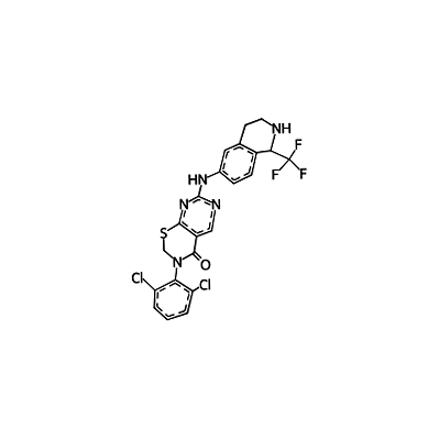 O=C1c2cnc(Nc3ccc4c(c3)CCNC4C(F)(F)F)nc2SCN1c1c(Cl)cccc1Cl